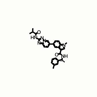 Cc1cccc([C@H](C)NC(=O)c2cn(C)c3ccc(-c4ccc5nc(NC(=O)C(C)C)nn5c4)cc23)c1